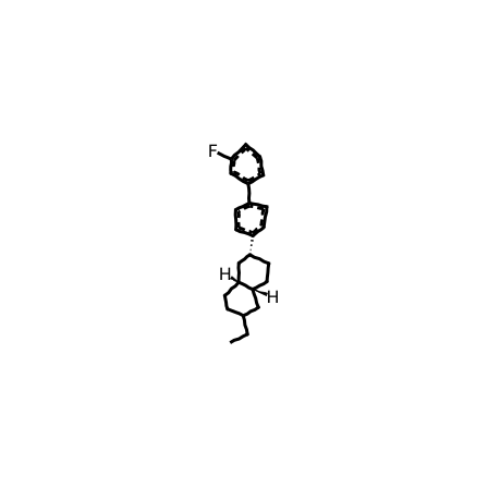 CCC1CC[C@@H]2C[C@H](c3ccc(-c4cccc(F)c4)cc3)CC[C@@H]2C1